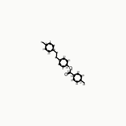 Cc1ccc(CCc2ccc(OC(=O)c3ccc(C)cc3)cc2)cc1